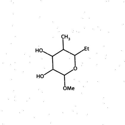 CCC1OC(OC)C(O)C(O)C1C